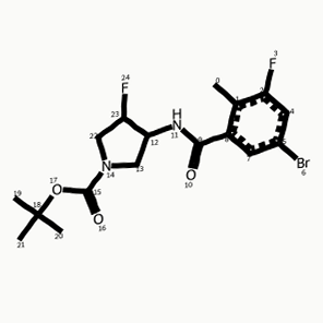 Cc1c(F)cc(Br)cc1C(=O)NC1CN(C(=O)OC(C)(C)C)CC1F